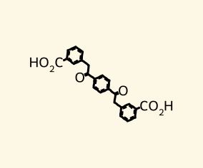 O=C(O)c1cccc(CC(=O)c2ccc(C(=O)Cc3cccc(C(=O)O)c3)cc2)c1